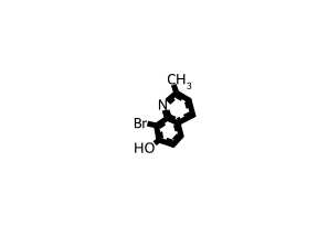 Cc1ccc2ccc(O)c(Br)c2n1